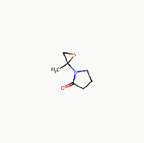 CC1(N2CCCC2=O)CS1